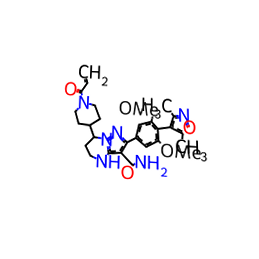 C=CC(=O)N1CCC(C2CCNc3c(C(N)=O)c(-c4cc(OC)c(-c5c(C)noc5C)c(OC)c4)nn32)CC1